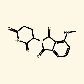 CNc1cccc2c1C(=O)N([C@@H]1CCC(=O)NC1=O)C2=O